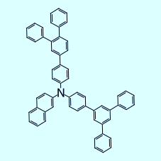 c1ccc(-c2cc(-c3ccccc3)cc(-c3ccc(N(c4ccc(-c5ccc(-c6ccccc6)c(-c6ccccc6)c5)cc4)c4ccc5ccccc5c4)cc3)c2)cc1